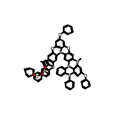 CN1c2cc3c(cc2B2c4ccccc4N(c4ccccc4)c4cc(Oc5ccccc5)cc1c42)B1c2cc4c(cc2Oc2cc(Oc5ccccc5)cc(c21)O3)N(C)c1cc(Oc2ccccc2)cc2c1B4c1ccccc1N2c1ccccc1